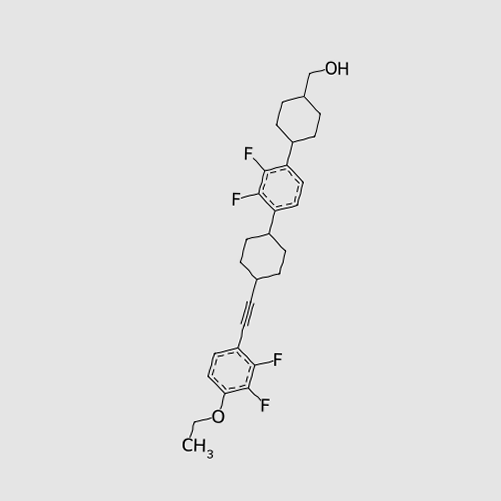 CCOc1ccc(C#CC2CCC(c3ccc(C4CCC(CO)CC4)c(F)c3F)CC2)c(F)c1F